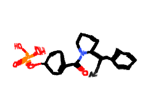 CC(=O)C(c1ccccc1)C1CCCCN1C(=O)c1ccc(OP(=O)(O)O)cc1